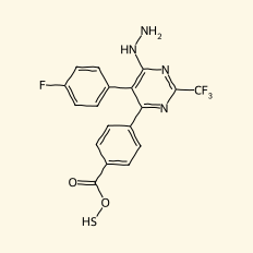 NNc1nc(C(F)(F)F)nc(-c2ccc(C(=O)OS)cc2)c1-c1ccc(F)cc1